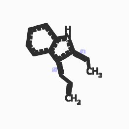 C=C/C=c1\c(=C/C)[nH]c2ccccc12